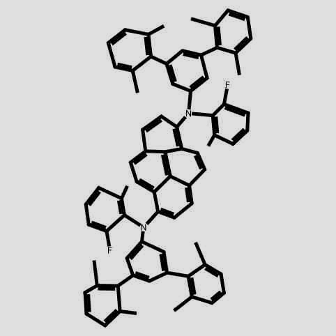 Cc1cccc(C)c1-c1cc(-c2c(C)cccc2C)cc(N(c2c(C)cccc2F)c2ccc3ccc4c(N(c5cc(-c6c(C)cccc6C)cc(-c6c(C)cccc6C)c5)c5c(C)cccc5F)ccc5ccc2c3c54)c1